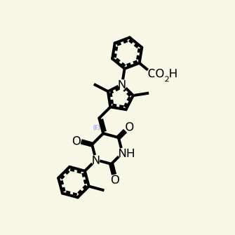 Cc1ccccc1N1C(=O)NC(=O)/C(=C\c2cc(C)n(-c3ccccc3C(=O)O)c2C)C1=O